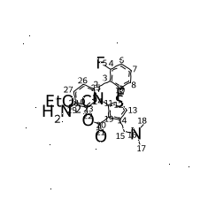 CCOC(=O)N(Cc1c(F)cccc1F)c1scc(CN(C)C)c1C(=O)Oc1ccccc1N